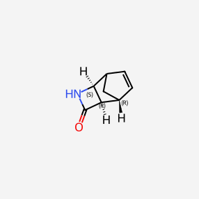 O=C1N[C@H]2C3C=C[C@@H](C3)[C@@H]12